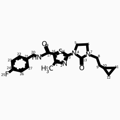 Cc1nc(N2CCN(CCC3CC3)C2=O)sc1C(=O)NCc1ccc(F)cc1